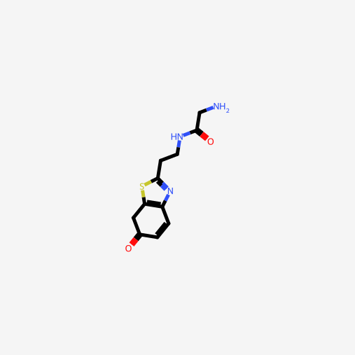 NCC(=O)NCCc1nc2c(s1)CC(=O)C=C2